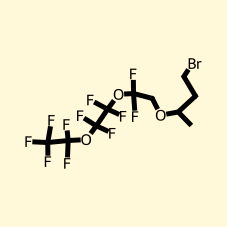 CC(CCBr)OCC(F)(F)OC(F)(F)C(F)(F)OC(F)(F)C(F)(F)F